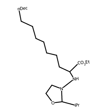 CCCCCCCCCCCCCCCCCC(NN1CCOC1C(C)C)C(=O)OCC